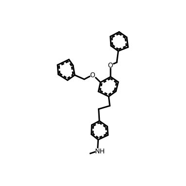 CNc1ccc(CCc2ccc(OCc3ccccc3)c(OCc3ccccc3)c2)cc1